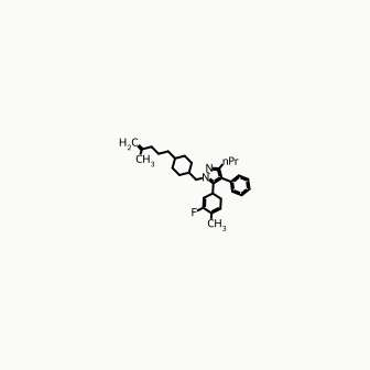 C=C(C)CCCC1CCC(Cn2nc(CCC)c(-c3ccccc3)c2C2C=C(F)C(C)=CC2)CC1